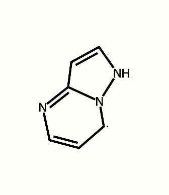 [CH]1C=CN=C2C=CNN12